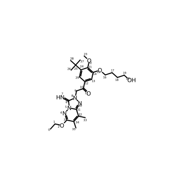 CCOc1nn2c(=N)n(CC(=O)c3cc(OCCCCO)c(OC)c(C(C)(C)C)c3)nc2c(C)c1C